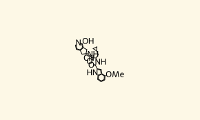 COc1cccc2[nH]c(C(=O)NC(CC3CC3)C(=O)NC3(C#N)Cc4ccnc(O)c4C3)cc12